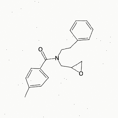 Cc1ccc(C(=O)N(CCc2ccccc2)CC2CO2)cc1